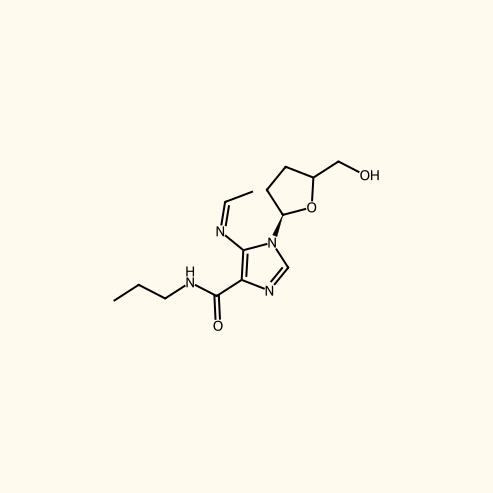 C/C=N\c1c(C(=O)NCCC)ncn1[C@H]1CCC(CO)O1